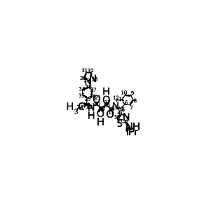 CC(C)Nc1nc([C@@H]2C3C=CC=CC3CN2C(=O)[C@H](O)[C@@H](O)C(=O)N[C@H](C)c2ccc(-n3cccn3)cc2)cs1